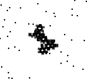 CC1(c2ccc(Nc3cc(-c4c(F)cccc4F)nc4c3C(=O)NC4)nc2)CC(C)(C)C(C2=CCOCC2)C1=O